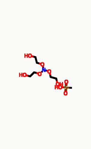 CS(=O)(=O)O.OCCON(OCCO)OCCO